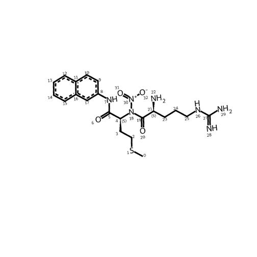 CSCC[C@@H](C(=O)Nc1ccc2ccccc2c1)N(C(=O)[C@@H](N)CCCNC(=N)N)[N+](=O)[O-]